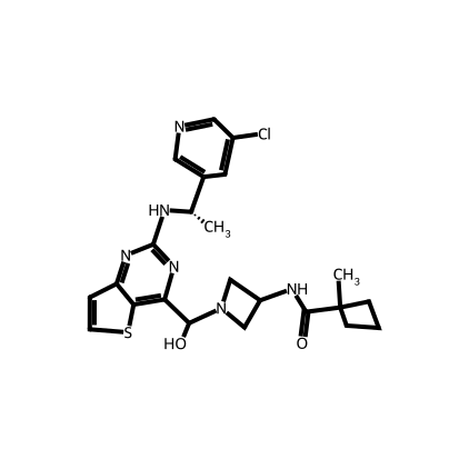 C[C@H](Nc1nc(C(O)N2CC(NC(=O)C3(C)CCC3)C2)c2sccc2n1)c1cncc(Cl)c1